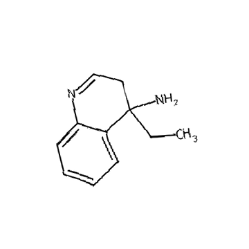 CCC1(N)CC=Nc2ccccc21